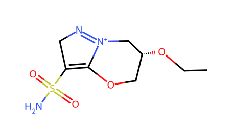 CCO[C@@H]1COC2=C(S(N)(=O)=O)CN=[N+]2C1